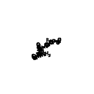 CS(=O)(=O)CCOc1ccc(N2CCN(CCn3c(=O)sc4c3nc(N)n3nc(-c5ccco5)cc43)CC2)c(F)c1